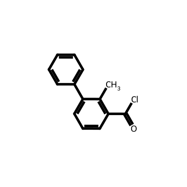 Cc1c(C(=O)Cl)cccc1-c1ccccc1